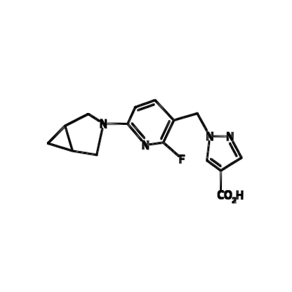 O=C(O)c1cnn(Cc2ccc(N3CC4CC4C3)nc2F)c1